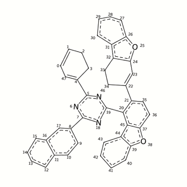 C1=CCCC(c2nc(-c3ccc4ccccc4c3)nc(-c3c(C4=Cc5oc6ccccc6c5CC4)ccc4oc5ccccc5c34)n2)=C1